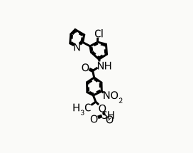 CC(O[SH](=O)=O)c1ccc(C(=O)Nc2ccc(Cl)c(-c3ccccn3)c2)cc1[N+](=O)[O-]